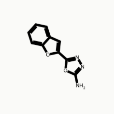 Nc1nnc(-c2cc3ccccc3o2)o1